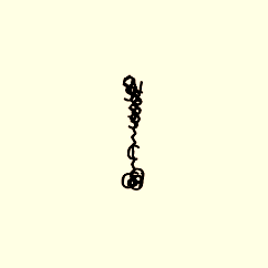 CO[Si](CCCCCCCCCCCCSSSSSSc1nc2ccccc2s1)(OC)OC